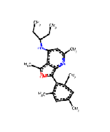 CCC(CC)Nc1cc(C)nc2c(-c3c(C)cc(C)cc3C)oc(C)c12